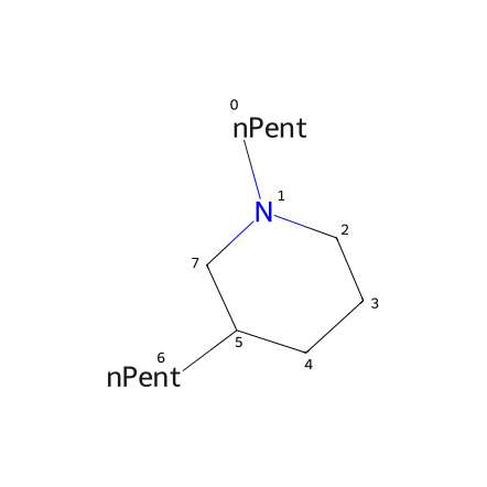 [CH2]CCCCN1CCCC(CCCCC)C1